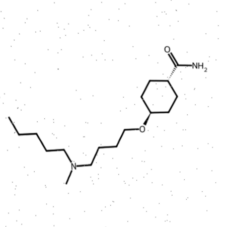 CCCCCN(C)CCCCO[C@H]1CC[C@H](C(N)=O)CC1